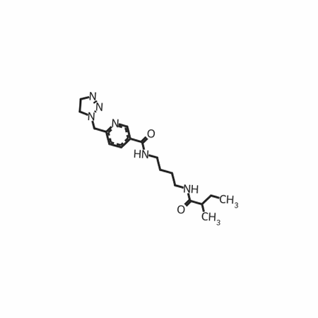 CCC(C)C(=O)NCCCCNC(=O)c1ccc(CN2CCN=N2)nc1